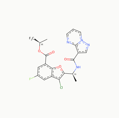 C[C@H](NC(=O)c1cnn2cccnc12)c1oc2c(C(=O)O[C@H](C)C(F)(F)F)cc(F)cc2c1Cl